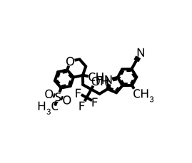 Cc1cc(C#N)cc2[nH]c(CC(O)(CC3(C)CCOc4ccc(S(C)(=O)=O)cc43)C(F)(F)F)cc12